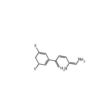 C=C(/C=C\C(N)=C/N)C1=CC(F)CC(F)=C1